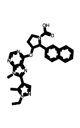 CCn1ncc(-c2nc3c(OC4CCN(C(=O)O)C4c4ccc5ccccc5c4)ncnc3n2C)c1C